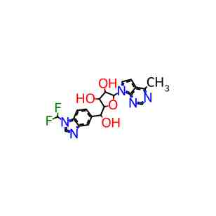 Cc1ncnc2c1ccn2C1OC(C(O)c2ccc3c(c2)ncn3C(F)F)C(O)C1O